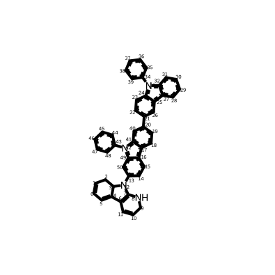 C1=CCC2C(=C1)C1=C(NCC=C1)N2c1ccc2c3ccc(-c4ccc5c(c4)c4ccccc4n5-c4ccccc4)cc3n(-c3ccccc3)c2c1